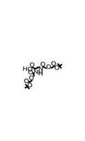 CC(C)(C)OC(=O)COCC(=O)NCC(NC(=O)COCC(=O)OC(C)(C)C)C(=O)O